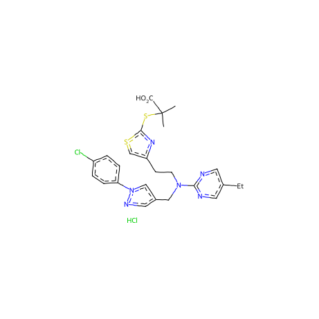 CCc1cnc(N(CCc2csc(SC(C)(C)C(=O)O)n2)Cc2cnn(-c3ccc(Cl)cc3)c2)nc1.Cl